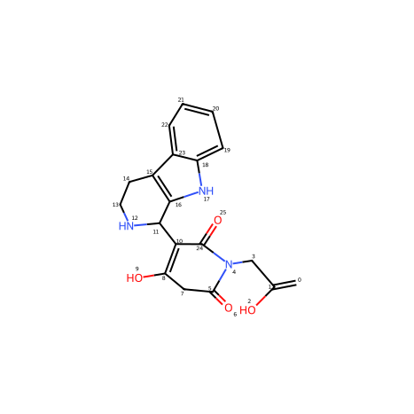 C=C(O)CN1C(=O)CC(O)=C(C2NCCc3c2[nH]c2ccccc32)C1=O